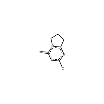 O=c1cc(Cl)nc2n1CCC2